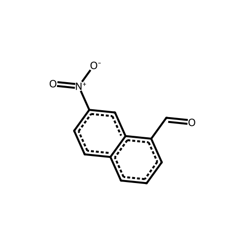 O=Cc1cccc2ccc([N+](=O)[O-])cc12